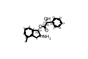 Cc1cccc2c1C[C@@H](N)[C@H]2OC(=O)[C@H](O)c1ccccc1